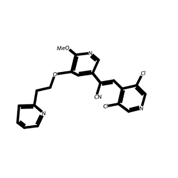 COc1ncc(C(C#N)=Cc2c(Cl)cncc2Cl)cc1OCCc1ccccn1